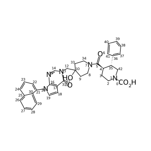 O=C(O)N1CC[C@@H](C(=O)N2CCC(O)(Cn3cnc4c(ccn4-c4cccc5ccccc45)c3=O)CC2)[C@H](c2ccccc2)C1